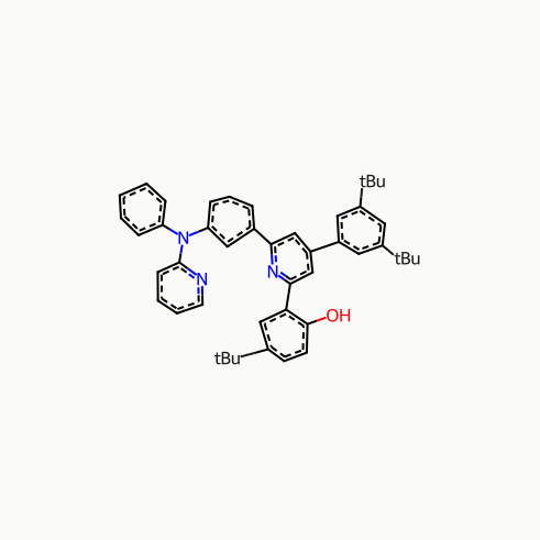 CC(C)(C)c1cc(-c2cc(-c3cccc(N(c4ccccc4)c4ccccn4)c3)nc(-c3cc(C(C)(C)C)ccc3O)c2)cc(C(C)(C)C)c1